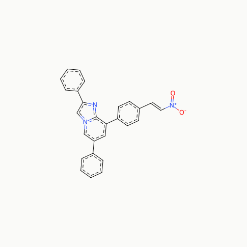 O=[N+]([O-])C=Cc1ccc(-c2cc(-c3ccccc3)cn3cc(-c4ccccc4)nc23)cc1